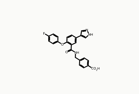 O=C(O)c1ccc(CNC(=O)c2cc(-c3cn[nH]c3)ccc2Oc2ccc(F)cc2)cc1